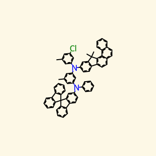 Cc1cc(Cl)cc(N(c2cc(C)cc(N(c3ccccc3)c3ccc4c(c3)C3(c5ccccc5-c5ccccc53)c3ccccc3-4)c2)c2ccc3c(c2)C(C)(C)c2c-3ccc3ccc4ccccc4c23)c1